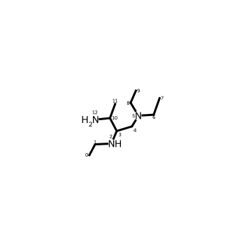 CCNC(CN(CC)CC)C(C)N